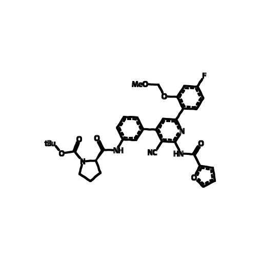 COCOc1cc(F)ccc1-c1cc(-c2cccc(NC(=O)[C@H]3CCCN3C(=O)OC(C)(C)C)c2)c(C#N)c(NC(=O)c2ccco2)n1